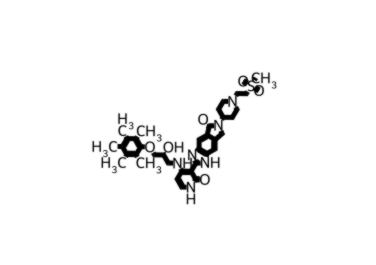 Cc1c(C)c(C)c(OC[C@H](O)CNc2cc[nH]c(=O)c2-c2nc3cc4c(cc3[nH]2)CN(C2CCN(CCS(C)(=O)=O)CC2)C4=O)c(C)c1C